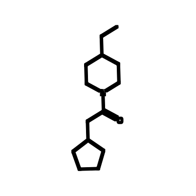 CCC1CCN(C(=O)CC2CCCC2)CC1